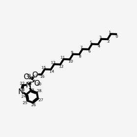 CCCCCCCCCCCCCCCCCOS(=O)(=O)n1cnc2ccccc21